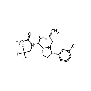 C=CCN1[C@@H]([C@H](C)N(CC(F)(F)F)C(C)=O)CC[C@H]1c1cccc(Cl)c1